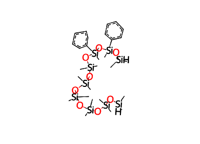 C[SiH](C)O[Si](C)(C)O[Si](C)(C)O[Si](C)(C)O[Si](C)(C)O[Si](C)(C)O[Si](C)(O[Si](C)(O[SiH](C)C)c1ccccc1)c1ccccc1